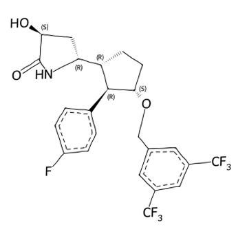 O=C1N[C@@H]([C@@H]2CC[C@H](OCc3cc(C(F)(F)F)cc(C(F)(F)F)c3)[C@H]2c2ccc(F)cc2)C[C@@H]1O